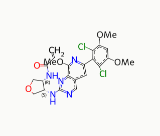 C=CC(=O)N[C@H]1COC[C@H]1Nc1ncc2cc(-c3c(Cl)c(OC)cc(OC)c3Cl)nc(OC)c2n1